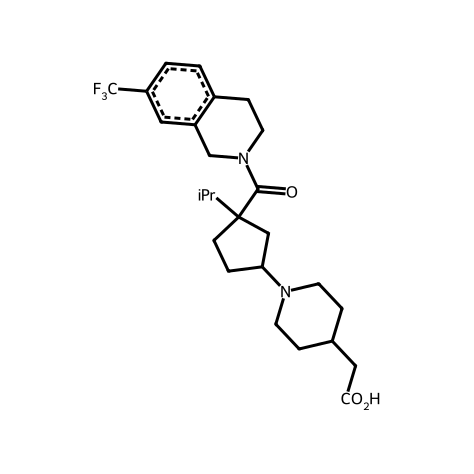 CC(C)C1(C(=O)N2CCc3ccc(C(F)(F)F)cc3C2)CCC(N2CCC(CC(=O)O)CC2)C1